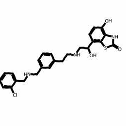 O=c1[nH]c2c(O)ccc(C(O)CNCCc3cccc(CNCc4ccccc4Cl)c3)c2s1